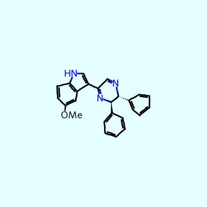 COc1ccc2[nH]cc(C3=N[C@H](c4ccccc4)[C@@H](c4ccccc4)N=C3)c2c1